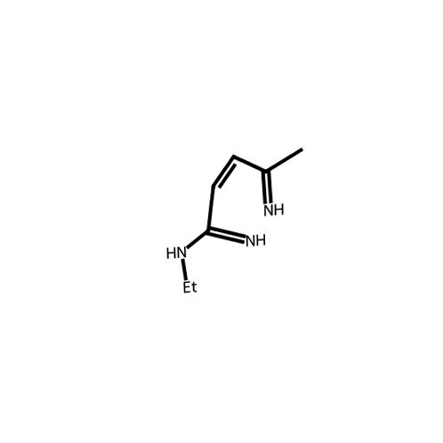 CCNC(=N)/C=C\C(C)=N